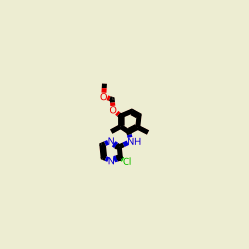 COCOc1ccc(C)c(Nc2nccnc2Cl)c1C